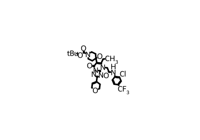 CC1OC2(CCN(C(=O)OC(C)(C)C)CC2)c2c1n(CC(=O)Nc1ccc(C(F)(F)F)cc1Cl)c1nc(C3=CCOCC3)nn1c2=O